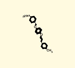 CCCCCC[C@H]1CC[C@H](COc2ccc(OCCC[C@H]3CC[C@H](C)CC3)cc2)CC1